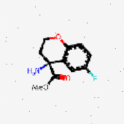 COC(=O)[C@]1(N)CCOc2ccc(F)cc21